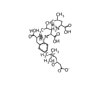 CC(C)C[C@H](N)C(=O)O.CC(C)C[C@H](N)C(=O)O.C[N+](C)(C)CC(O)CC(=O)[O-].N[C@@H](Cc1ccccc1)C(=O)O